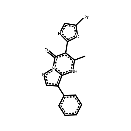 Cc1[nH]c2c(-c3ccccc3)cnn2c(=O)c1-c1ncc(C(C)C)o1